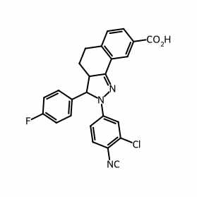 [C-]#[N+]c1ccc(N2N=C3c4cc(C(=O)O)ccc4CCC3C2c2ccc(F)cc2)cc1Cl